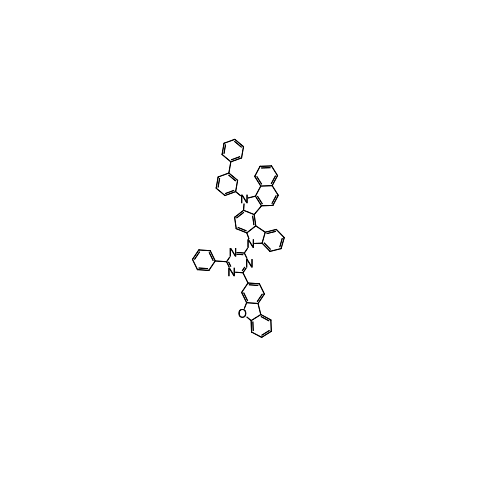 c1ccc(-c2cccc(-n3c4ccc5c(c6ccccc6n5-c5nc(-c6ccccc6)nc(-c6ccc7c(c6)oc6ccccc67)n5)c4c4ccc5ccccc5c43)c2)cc1